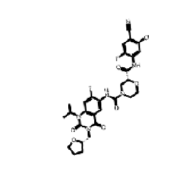 CC(C)n1c(=O)n(C[C@@H]2CCCO2)c(=O)c2cc(NC(=O)N3CCO[C@@H](C(=O)Nc4cc(Cl)c(C#N)cc4F)C3)c(F)cc21